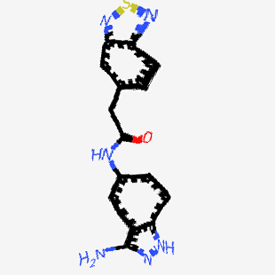 Nc1n[nH]c2ccc(NC(=O)Cc3ccc4nsnc4c3)cc12